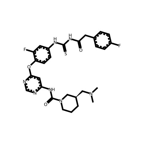 CN(C)C[C@H]1CCCN(C(=O)Nc2cc(Oc3ccc(NC(=S)NC(=O)Cc4ccc(F)cc4)cc3F)ncn2)C1